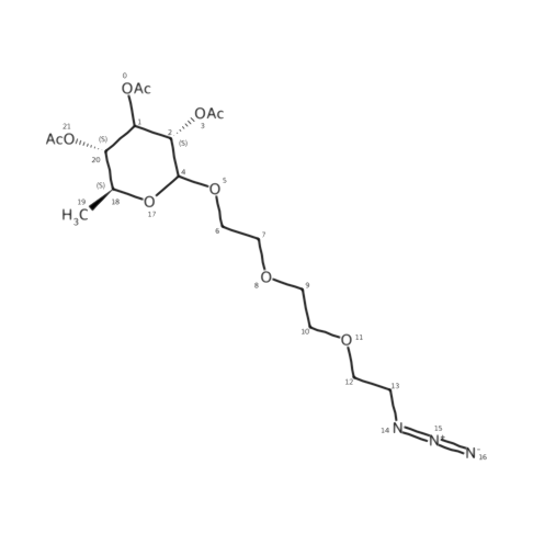 CC(=O)OC1[C@H](OC(C)=O)C(OCCOCCOCCN=[N+]=[N-])O[C@@H](C)[C@@H]1OC(C)=O